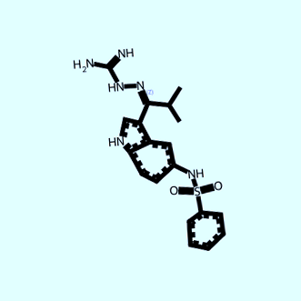 CC(C)/C(=N/NC(=N)N)c1c[nH]c2ccc(NS(=O)(=O)c3ccccc3)cc12